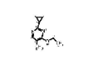 Cc1cnc(C2CC2)nc1OCC(F)(F)F